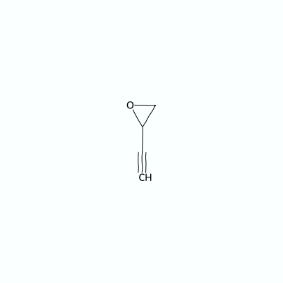 C#CC1CO1